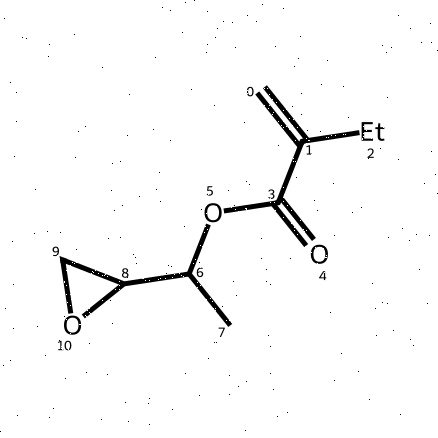 C=C(CC)C(=O)OC(C)C1CO1